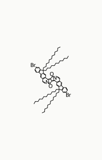 CCCCCCCCCCCCC1(CCCCCCCCCCCC)c2cc(Br)ccc2-c2cc3c(cc21)C1=C2C(=O)N4C=Cc5cc6c(cc5C4=C2C(=O)N1C=C3)C(CCCCCCCCCCCC)(CCCCCCCCCCCC)c1cc(Br)ccc1-6